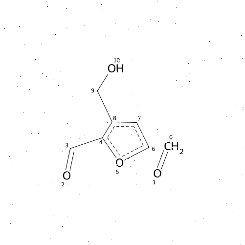 C=O.O=Cc1occc1CO